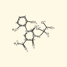 Cc1cccc(C)c1-n1cc(C(N)=O)c(=O)n(SC(Cl)(Cl)C(Cl)Cl)c1=O